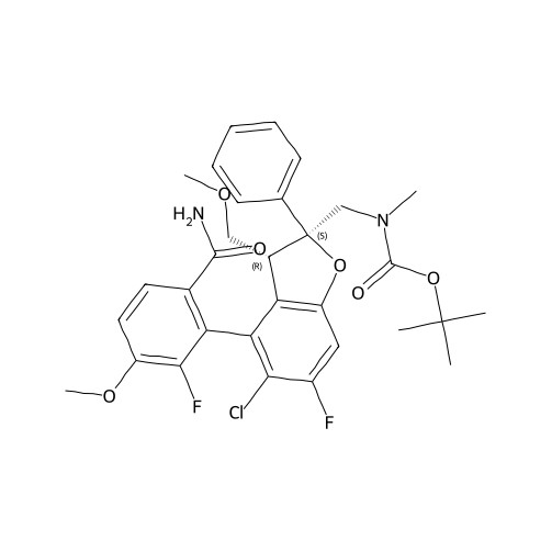 COC[C@H]1c2c(cc(F)c(Cl)c2-c2c(C(N)=O)ccc(OC)c2F)O[C@]1(CN(C)C(=O)OC(C)(C)C)c1ccccc1